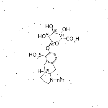 CCCN1CCC[C@@H]2Cc3c(ccc(O[C@@H]4OC(C(=O)O)[C@@H](O)[C@H](O)[C@H]4O)c3S(=O)(=O)O)CC21